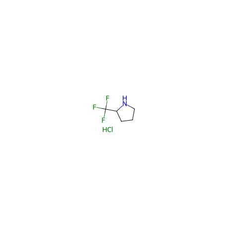 Cl.FC(F)(F)C1CCCN1